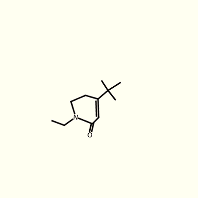 CCN1CCC(C(C)(C)C)=CC1=O